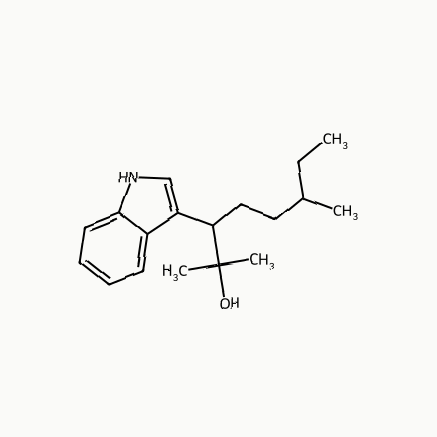 CCC(C)CCC(c1c[nH]c2ccccc12)C(C)(C)O